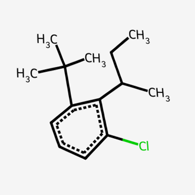 CCC(C)c1c(Cl)cccc1C(C)(C)C